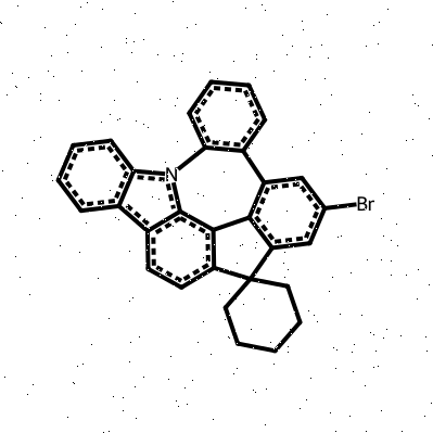 Brc1cc2c3c(c1)C1(CCCCC1)c1ccc4c5ccccc5n(c4c1-3)-c1ccccc1-2